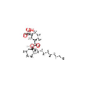 CCCCCCCCCCC1(OC(=O)C2CCCC(C(=O)O)C2)CCCCC1